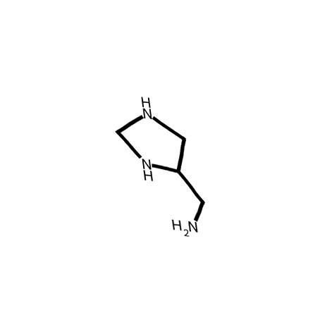 NCC1CNCN1